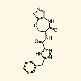 O=C(N[C@H]1COc2sncc2NC1=O)c1nnc(Cc2ccccc2)[nH]1